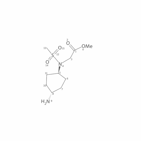 COC(=O)CN([C@H]1CC[C@H](N)CC1)S(C)(=O)=O